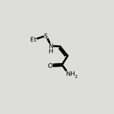 CCSN/C=C\C(N)=O